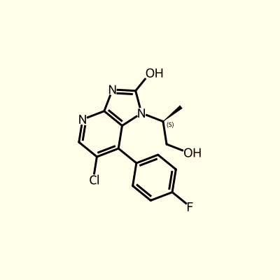 C[C@@H](CO)n1c(O)nc2ncc(Cl)c(-c3ccc(F)cc3)c21